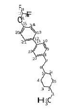 CCC1CCC(CCc2ccc(-c3ccc(OC(F)F)cc3)cc2)CC1